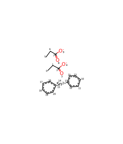 CCC(=O)[O-].CCC(=O)[O-].c1cc[c]([Sn+2][c]2ccccc2)cc1